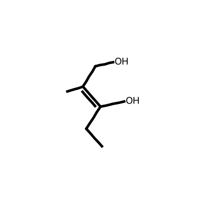 CC/C(O)=C(\C)CO